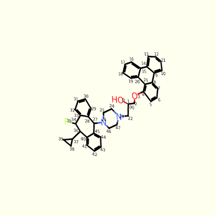 O[C@@H](COc1cccc2c3ccccc3c3ccccc3c12)CN1CCN(C2c3ccccc3C(F)C(C3CC3)c3ccccc32)CC1